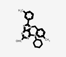 Cc1ccc(Cn2c(-c3cccc(C)c3)nc3nc(C=O)nc(NC4CCCCC4)c32)cc1